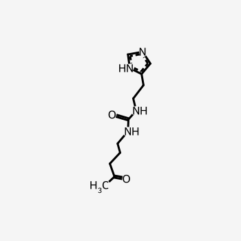 CC(=O)CCCNC(=O)NCCc1cnc[nH]1